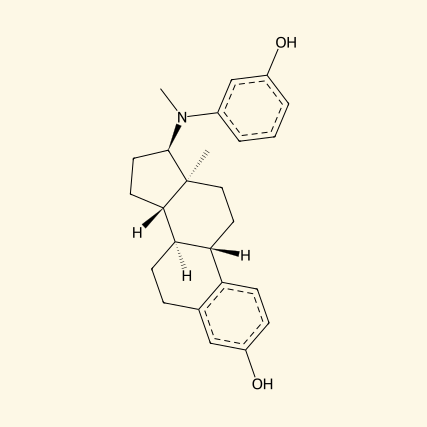 CN(c1cccc(O)c1)[C@@H]1CC[C@H]2[C@@H]3CCc4cc(O)ccc4[C@H]3CC[C@@]21C